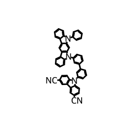 N#Cc1ccc2c(c1)c1cc(C#N)ccc1n2-c1cccc(-c2cccc(-n3c4ccccc4c4cc5c6ccccc6n(-c6ccccc6)c5cc43)c2)c1